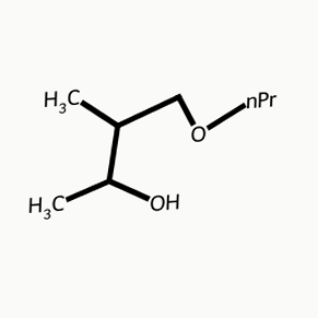 CCCOCC(C)C(C)O